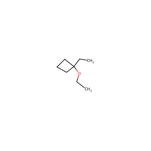 CCOC1(CC)CCC1